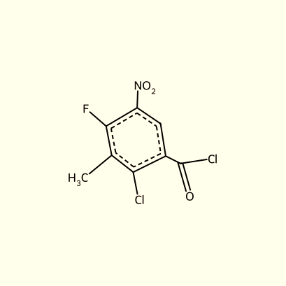 Cc1c(F)c([N+](=O)[O-])cc(C(=O)Cl)c1Cl